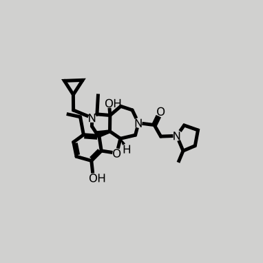 CCc1ccc(O)c2c1C13CCN(CC4CC4)C(C)C1(O)CCN(C(=O)CN1CCCC1C)C[C@@H]3O2